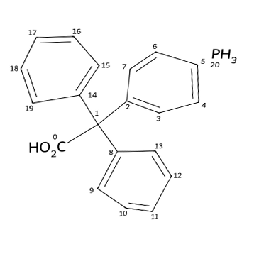 O=C(O)C(c1ccccc1)(c1ccccc1)c1ccccc1.P